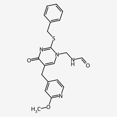 COc1cc(Cc2cn(CNC=O)c(SCc3ccccc3)nc2=O)ccn1